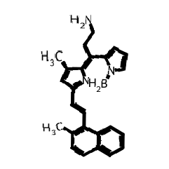 Bn1cccc1/C(CCN)=C1N=C(/C=C/c2c(C)ccc3ccccc23)C=C\1C